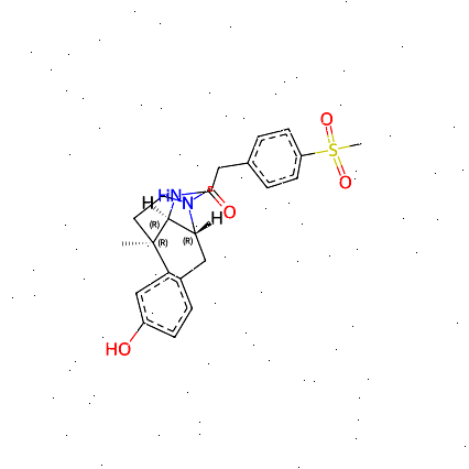 CN1CC[C@]2(C)c3cc(O)ccc3C[C@@H]1[C@@H]2NC(=O)Cc1ccc(S(C)(=O)=O)cc1